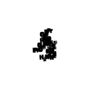 CCCSC(=O)C(C)(C)N[P@](=O)(CO[C@H](C)Cn1cnc2c(N)ncnc21)OCCC(=O)OC(C)C